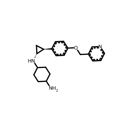 NC1CCC(N[C@@H]2C[C@H]2c2ccc(OCc3cccnc3)cc2)CC1